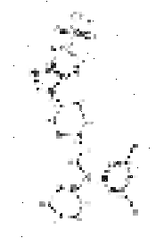 CS(=O)(=O)c1ccc2c(c1)ncn2C1CCN(CC[C@@H](c2cc(F)cc(F)c2)C2CCOCC2)CC1